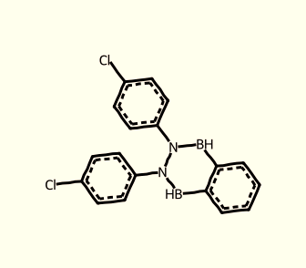 Clc1ccc(N2Bc3ccccc3BN2c2ccc(Cl)cc2)cc1